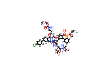 COC(=O)[C@@H]1Cc2ccc(PC(=O)OC(C)(C)C)c(c2)-c2cc(ccc2O)[C@H](N(C)C(=O)[C@H](CCCCNC(=O)OC(C)(C)C)NC(=O)c2ccc(-c3ccc(Cl)cc3)cc2)C(=O)N[C@@H](C)C(=O)N1